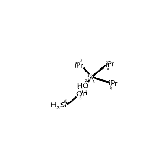 CC(C)[Si](O)(C(C)C)C(C)C.O[SiH3]